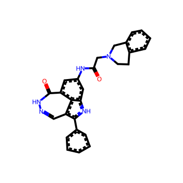 O=C(CN1CCc2ccccc2C1)Nc1cc2c3c(c(-c4ccccc4)[nH]c3c1)C=NNC2=O